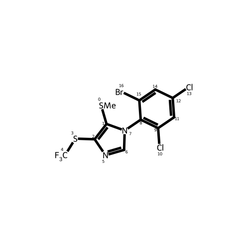 CSc1c(SC(F)(F)F)ncn1-c1c(Cl)cc(Cl)cc1Br